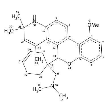 COc1cccc2c1-c1ccc3c(c1C(C1(CN(C)C)CC=CCC1)O2)C(C)=CC(C)(C)N3